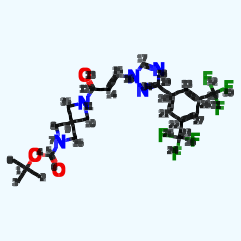 CC(C)(C)OC(=O)N1CC2(CN(C(=O)C=Cn3cnc(-c4cc(C(F)(F)F)cc(C(F)(F)F)c4)n3)C2)C1